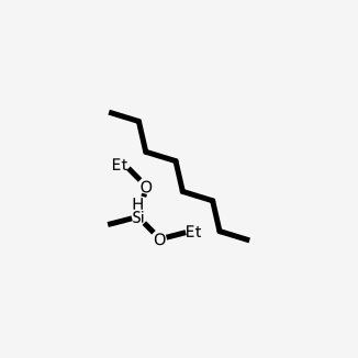 CCCCCCCC.CCO[SiH](C)OCC